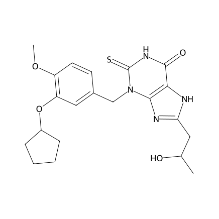 COc1ccc(Cn2c(=S)[nH]c(=O)c3[nH]c(CC(C)O)nc32)cc1OC1CCCC1